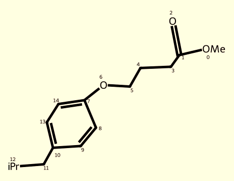 COC(=O)CCCOc1ccc(CC(C)C)cc1